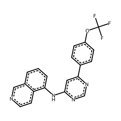 FC(F)(F)Oc1ccc(-c2cc(Nc3cccc4cnccc34)ncn2)cc1